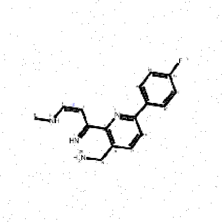 CN/C=C\C(=N)c1nc(-c2ccc(F)cc2)ccc1CN